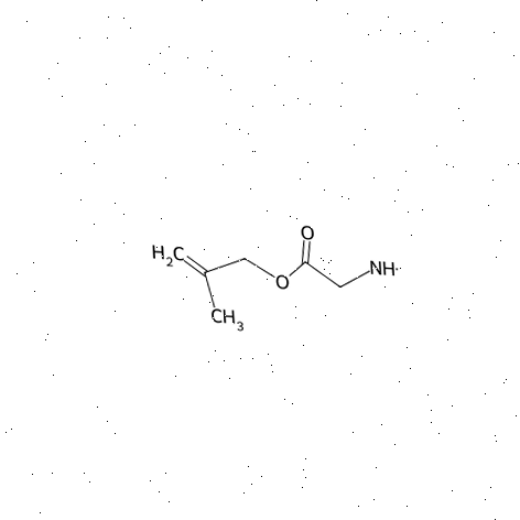 C=C(C)COC(=O)C[NH]